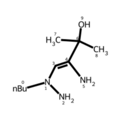 CCCCN(N)/C=C(\N)C(C)(C)O